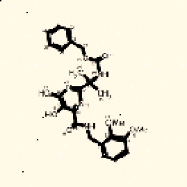 COc1cccc(CNC(=O)c2nc(C(C)(C)NC(=O)OCc3ccccc3)nc(O)c2O)c1OC